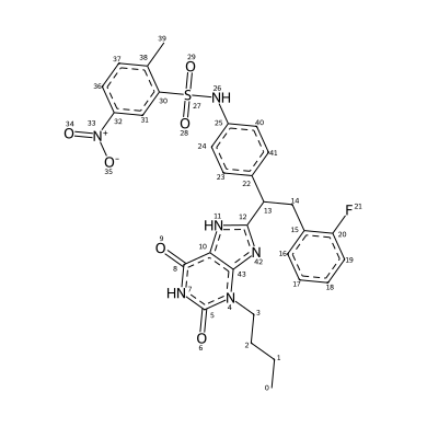 CCCCn1c(=O)[nH]c(=O)c2[nH]c(C(Cc3ccccc3F)c3ccc(NS(=O)(=O)c4cc([N+](=O)[O-])ccc4C)cc3)nc21